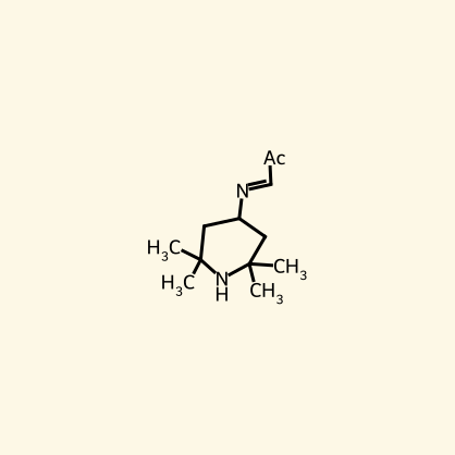 CC(=O)/C=N/C1CC(C)(C)NC(C)(C)C1